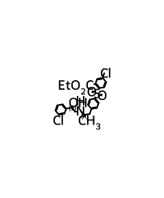 CCOC(=O)c1cc(Cl)ccc1S(=O)(=O)c1ccc(C[C@@H](C)NC[C@@H](O)c2cccc(Cl)c2)cc1